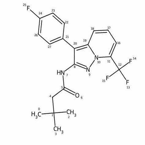 CC(C)(C)CC(=O)Nc1nn2c(C(F)(F)F)cccc2c1-c1ccc(F)cc1